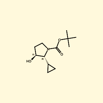 CC(C)(C)OC(=O)N1CC[C@H](O)[C@H]1C1CC1